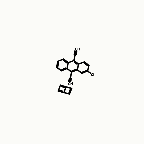 C#Cc1c2ccccc2c(C#C)c2cc(Cl)ccc12.c1cc2ccc1-2